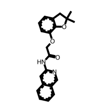 CC1(C)Cc2cccc(OCC(=O)Nc3cc4ccccc4cn3)c2O1